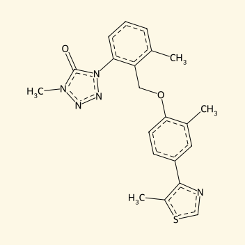 Cc1cc(-c2ncsc2C)ccc1OCc1c(C)cccc1-n1nnn(C)c1=O